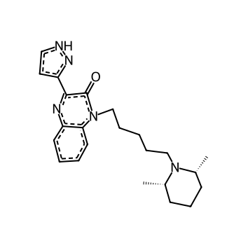 C[C@@H]1CCC[C@H](C)N1CCCCCn1c(=O)c(-c2cc[nH]n2)nc2ccccc21